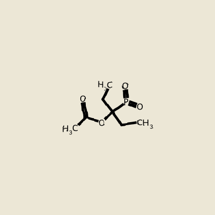 CCC(CC)(OC(C)=O)P(=O)=O